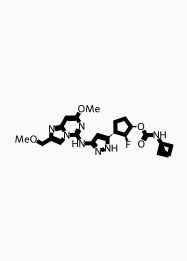 COCc1cn2c(Nc3cc([C@@H]4CC[C@H](OC(=O)NC56CC(C5)C6)[C@H]4F)[nH]n3)nc(OC)cc2n1